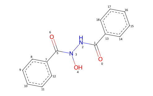 O=C(NN(O)C(=O)c1ccccc1)c1ccccc1